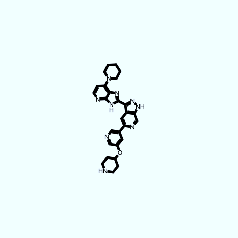 c1cc(N2CCCCC2)c2nc(-c3n[nH]c4cnc(-c5cncc(OC6CCNCC6)c5)cc34)[nH]c2n1